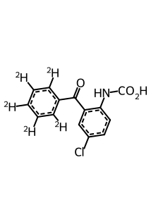 [2H]c1c([2H])c([2H])c(C(=O)c2cc(Cl)ccc2NC(=O)O)c([2H])c1[2H]